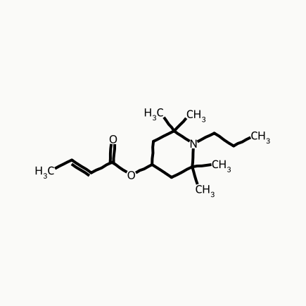 CC=CC(=O)OC1CC(C)(C)N(CCC)C(C)(C)C1